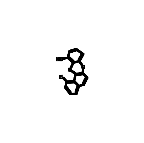 Oc1cccc2c1Oc1c(ccc3cccc(Cl)c13)O2